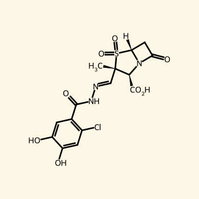 C[C@]1(/C=N/NC(=O)c2cc(O)c(O)cc2Cl)[C@H](C(=O)O)N2C(=O)C[C@H]2S1(=O)=O